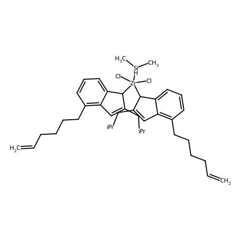 C=CCCCCc1cccc2c1C=C(CC(C)C)[CH]2[Zr]([Cl])([Cl])([CH]1C(CC(C)C)=Cc2c(CCCCC=C)cccc21)[SiH](C)C